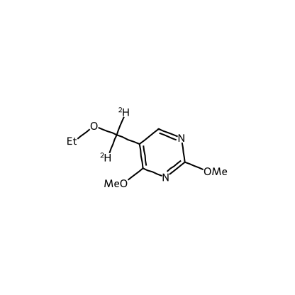 [2H]C([2H])(OCC)c1cnc(OC)nc1OC